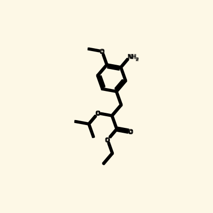 CCOC(=O)C(Cc1ccc(OC)c(N)c1)OC(C)C